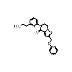 CCCc1cccc(N2CCn3nc(COc4ccccc4)cc3C2=O)n1